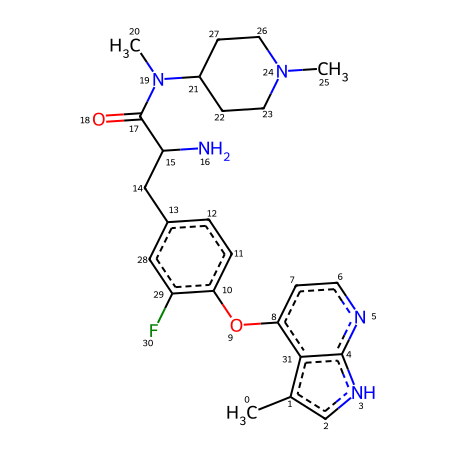 Cc1c[nH]c2nccc(Oc3ccc(CC(N)C(=O)N(C)C4CCN(C)CC4)cc3F)c12